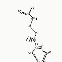 CC(=O)NCCNc1cc[c]cc1